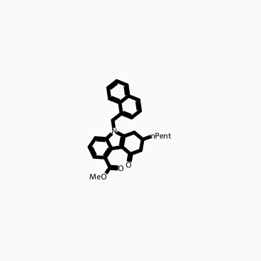 CCCCCC1CC(=O)c2c(n(Cc3cccc4ccccc34)c3cccc(C(=O)OC)c23)C1